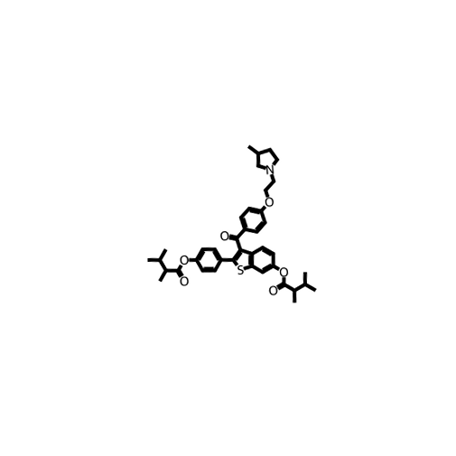 CC1CCN(CCOc2ccc(C(=O)c3c(-c4ccc(OC(=O)C(C)C(C)C)cc4)sc4cc(OC(=O)C(C)C(C)C)ccc34)cc2)C1